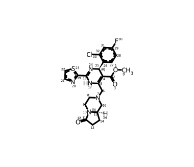 COC(=O)C1=C(CN2CCN3C(=O)CC[C@@H]3C2)NC(c2nccs2)=N[C@H]1c1ccc(F)cc1Cl